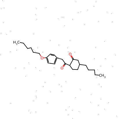 CCCCCCOc1ccc(CC(=O)C2CCC(CCCCC)CC2=O)cc1